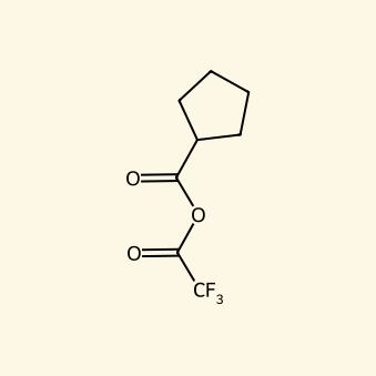 O=C(OC(=O)C(F)(F)F)C1CCCC1